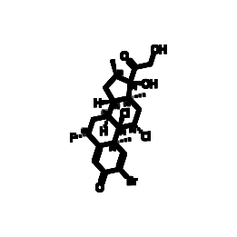 C[C@@H]1C[C@H]2[C@@H]3C[C@@H](F)C4=CC(=O)C(Br)=C[C@]4(C)[C@@]3(Cl)[C@@H](Cl)C[C@]2(C)[C@@]1(O)C(=O)CO